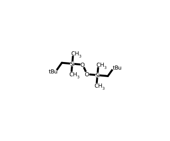 CC(C)(C)C[Si](C)(C)OO[Si](C)(C)CC(C)(C)C